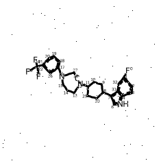 Fc1ccc2[nH]cc(C3CCC(N4CCCN(c5cccc(C(F)(F)F)c5)CC4)CC3)c2c1